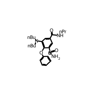 CCCCN(CCCC)c1cc(C(=O)NCCC)cc(S(N)(=O)=O)c1Oc1ccccc1